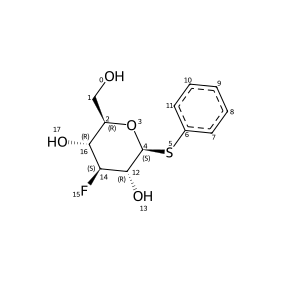 OC[C@H]1O[C@@H](Sc2ccccc2)[C@H](O)[C@@H](F)[C@@H]1O